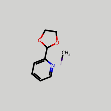 CI.c1ccc(C2OCCO2)nc1